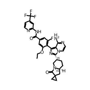 CCOc1cc(C(=O)Nc2cc(C(F)(F)F)ccn2)cc(F)c1-c1nc([C@@H]2CC[C@H]3CC4(CC4)C(=O)N3C2)n2ccnc(N)c12